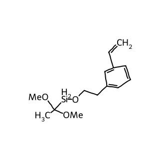 C=Cc1cccc(CCO[SiH2]C(C)(OC)OC)c1